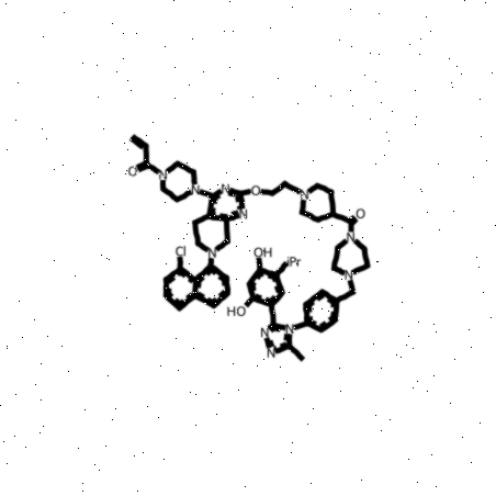 C=CC(=O)N1CCN(c2nc(OCCN3CCC(C(=O)N4CCN(Cc5ccc(-n6c(C)nnc6-c6cc(C(C)C)c(O)cc6O)cc5)CC4)CC3)nc3c2CCN(c2cccc4cccc(Cl)c24)C3)CC1